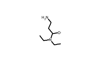 CCN(CC)C([O])CCN